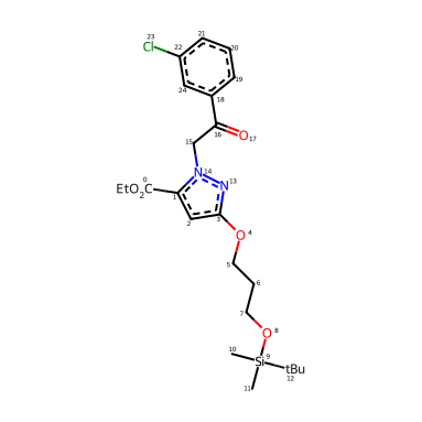 CCOC(=O)c1cc(OCCCO[Si](C)(C)C(C)(C)C)nn1CC(=O)c1cccc(Cl)c1